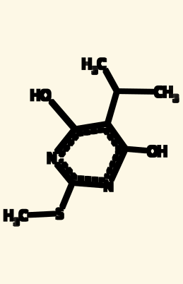 CSc1nc(O)c(C(C)C)c(O)n1